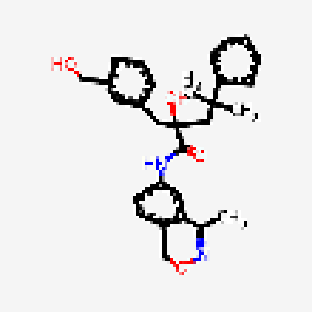 CC1=NOCc2ccc(NC(=O)C(O)(Cc3cccc(CO)c3)CC(C)(C)c3ccccc3)cc21